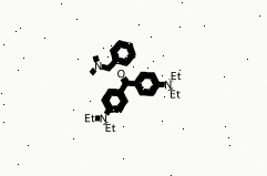 CCN(CC)c1ccc(C(=O)c2ccc(N(CC)CC)cc2)cc1.CN(C)Cc1ccccc1